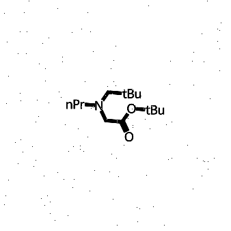 CCCN(CC(=O)OC(C)(C)C)CC(C)(C)C